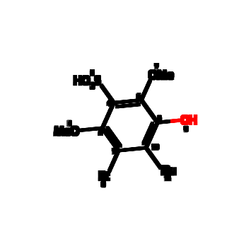 CCc1c(OC)c(S(=O)(=O)O)c(OC)c(O)c1C(C)CC